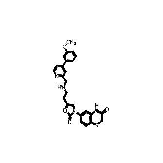 COc1cccc(-c2ccnc(CNCCC3CN(c4ccc5c(c4)NC(=O)CS5)C(=O)O3)c2)c1